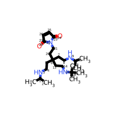 CC(C)NCCC(CCNC(C)C)(CCNC(C)(C)C)CCN1C(=O)C=CC1=O